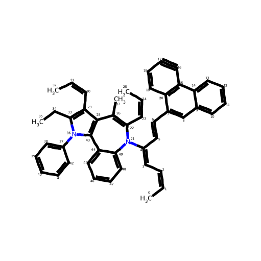 C\C=C/C=C(\C=C\c1cc2ccccc2c2c#cccc12)N1C(/C=C\C)=C(C)c2c(/C=C\C)c(CC)n(-c3ccccc3)c2-c2ccccc21